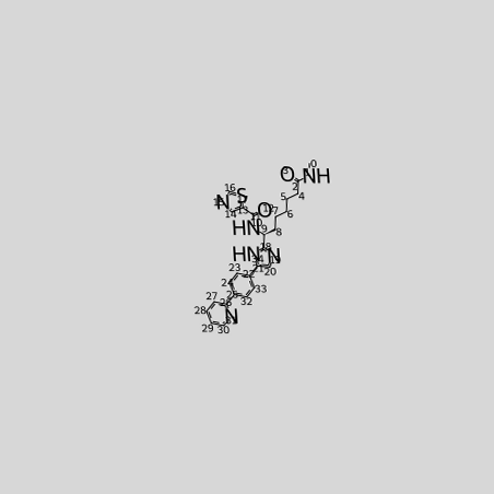 CNC(=O)CCCCC[C@H](NC(=O)c1cncs1)c1ncc(-c2ccc(-c3ccccn3)cc2)[nH]1